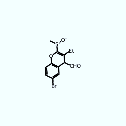 CCC1=C([S+](C)[O-])Oc2ccc(Br)cc2C1C=O